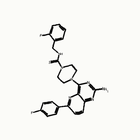 Nc1nc(N2CCN(C(=S)NCc3ccccc3F)CC2)c2nc(-c3ccc(F)cc3)ccc2n1